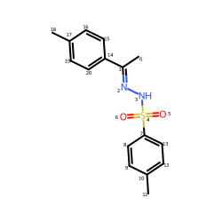 C/C(=N\NS(=O)(=O)c1ccc(C)cc1)c1ccc(C)cc1